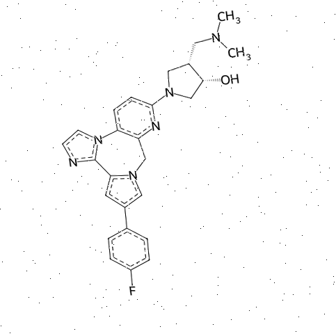 CN(C)C[C@H]1CN(c2ccc3c(n2)Cn2cc(-c4ccc(F)cc4)cc2-c2nccn2-3)C[C@H]1O